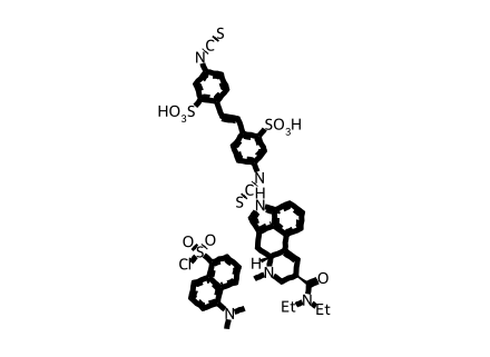 CCN(CC)C(=O)[C@@H]1C=C2c3cccc4[nH]cc(c34)C[C@H]2N(C)C1.CN(C)c1cccc2c(S(=O)(=O)Cl)cccc12.O=S(=O)(O)c1cc(N=C=S)ccc1C=Cc1ccc(N=C=S)cc1S(=O)(=O)O